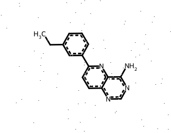 CCc1cccc(-c2ccc3ncnc(N)c3n2)c1